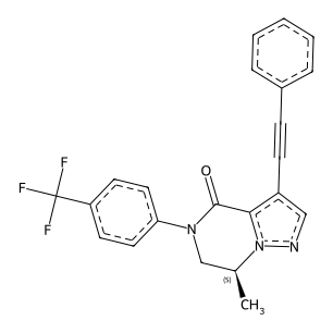 C[C@H]1CN(c2ccc(C(F)(F)F)cc2)C(=O)c2c(C#Cc3ccccc3)cnn21